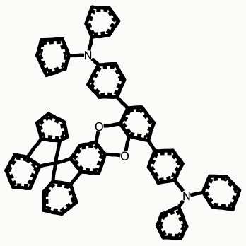 c1ccc(N(c2ccccc2)c2ccc(-c3ccc(-c4ccc(N(c5ccccc5)c5ccccc5)cc4)c4c3Oc3cc5c(cc3O4)C3(c4ccccc4-c4ccccc43)c3ccccc3-5)cc2)cc1